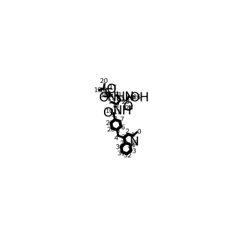 Cc1cc(Cc2ccc(C(=O)N[C@@H]3CN(S(=O)(=O)C(C)C)C[C@@H]3C(=O)NO)cc2)c2ccccc2n1